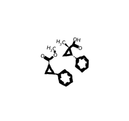 COC(=O)[C@H]1C[C@@H]1c1ccccc1.C[C@]1(C(=O)O)C[C@H]1c1ccccc1